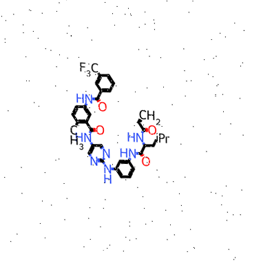 C=CC(=O)NC(CC(C)C)C(=O)Nc1cccc(Nc2ncc(NC(=O)c3cc(NC(=O)c4cccc(C(F)(F)F)c4)ccc3C)cn2)c1